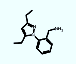 CCc1cc(CC)n(-c2ccccc2CN)n1